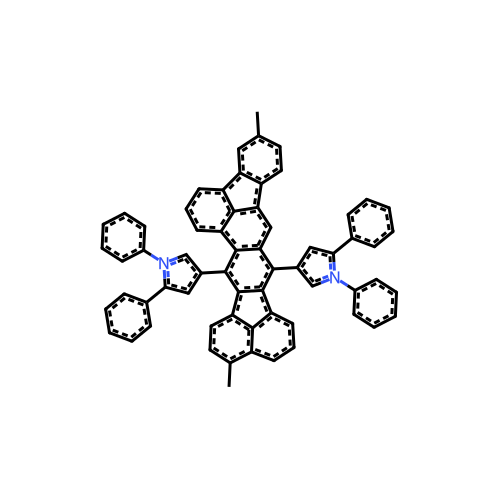 Cc1ccc2c(c1)c1cccc3c4c(-c5cc(-c6ccccc6)n(-c6ccccc6)c5)c5c6ccc(C)c7cccc(c5c(-c5cc(-c8ccccc8)n(-c8ccccc8)c5)c4cc2c13)c76